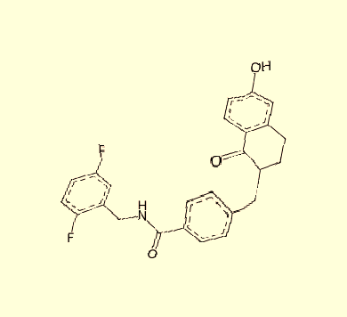 O=C(NCc1cc(F)ccc1F)c1ccc(CC2CCc3cc(O)ccc3C2=O)cc1